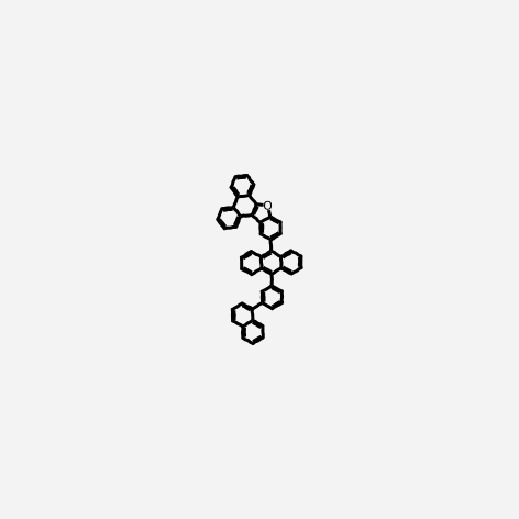 c1cc(-c2cccc3ccccc23)cc(-c2c3ccccc3c(-c3ccc4oc5c6ccccc6c6ccccc6c5c4c3)c3ccccc23)c1